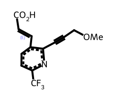 COCC#Cc1nc(C(F)(F)F)ccc1/C=C/C(=O)O